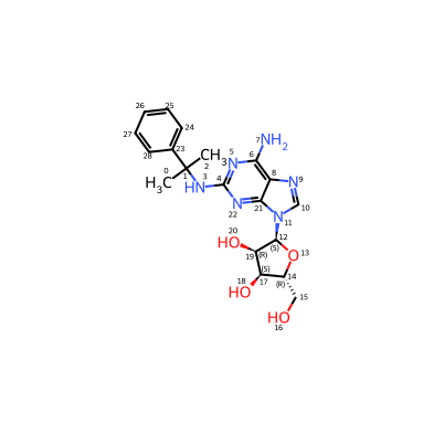 CC(C)(Nc1nc(N)c2ncn([C@H]3O[C@H](CO)[C@@H](O)[C@H]3O)c2n1)c1ccccc1